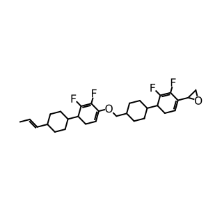 C/C=C/C1CCC(C2CC=C(OCC3CCC(C4CC=C(C5CO5)C(F)=C4F)CC3)C(F)=C2F)CC1